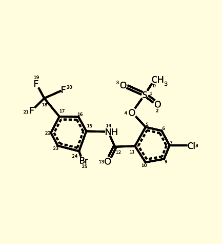 CS(=O)(=O)Oc1cc(Cl)ccc1C(=O)Nc1cc(C(F)(F)F)ccc1Br